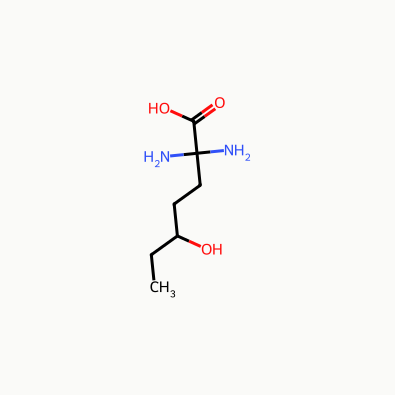 CCC(O)CCC(N)(N)C(=O)O